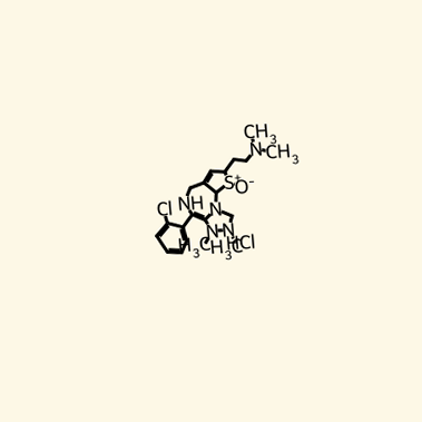 CN(C)CCC1C=C2CNC(c3ccccc3Cl)=C3N(CN(C)N3C)C2[S+]1[O-].Cl